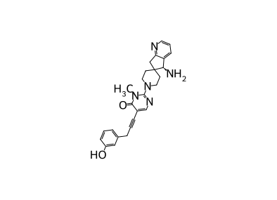 Cn1c(N2CCC3(CC2)Cc2ncccc2[C@H]3N)ncc(C#CCc2cccc(O)c2)c1=O